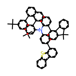 CC(C)(C)c1cc(-c2cccc3cccc(-c4ccccc4N(c4ccc(-c5cccc6c5sc5ccccc56)cc4)c4ccccc4-c4cccc5c4-c4ccccc4C5(C)C)c23)cc(C(C)(C)C)c1